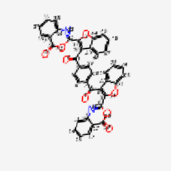 O=C(c1ccc(C(=O)c2c(-c3nc4ccccc4c(=O)o3)oc3ccccc23)cc1)c1c(-c2nc3ccccc3c(=O)o2)oc2ccccc12